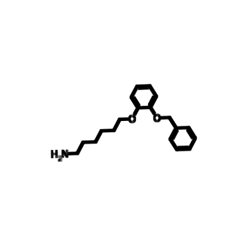 NCCCCCCOc1ccccc1OCc1ccccc1